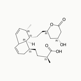 C[C@@H](CC[C@H]1CC=CC2C=C[C@H](C)[C@H](CC[C@@H]3C[C@@H](O)CC(=O)O3)[C@H]21)C(=O)O